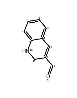 O=CC1=Cc2ccccc2NC1